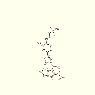 CC(C)(O)CCOc1ccc(-n2cc(C(O)[SH]3C(C4(C)CC4)=Nc4cncn43)nn2)cc1Cl